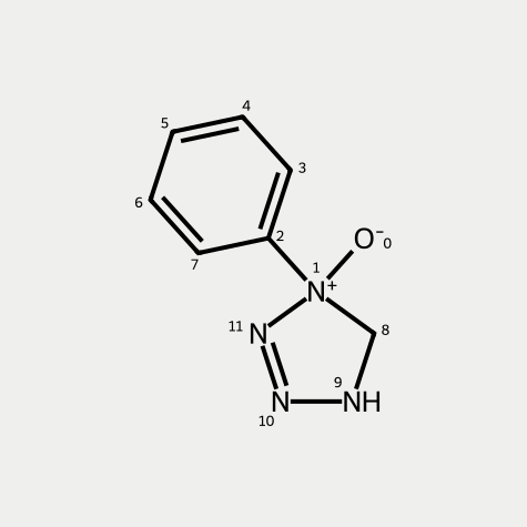 [O-][N+]1(c2ccccc2)CNN=N1